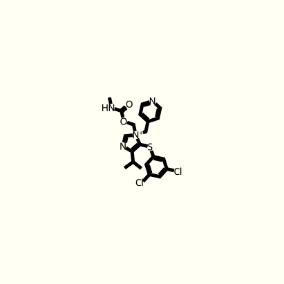 CNC(=O)OC[N+]1(Cc2ccncc2)C=NC(C(C)C)=C1Sc1cc(Cl)cc(Cl)c1